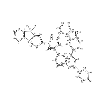 CC1(C)c2ccccc2-c2ccc(-c3nc(-c4ccccc4)nc(-c4cccc5oc6ccc(-c7cccc(-c8ccccc8)c7)cc6c45)n3)cc21